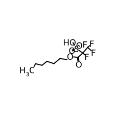 CCCCCCCOC(=O)C(F)(C(F)(F)F)S(=O)(=O)O